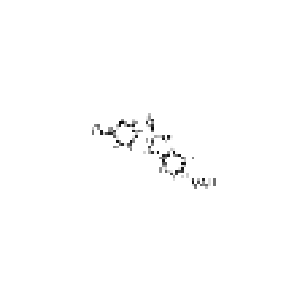 O=C(O)c1ccc(OS(=O)(=O)c2ccc(O)cc2)cc1